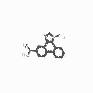 CC(C)c1ccc2c3ccccc3c3c(ncn3C)c2c1